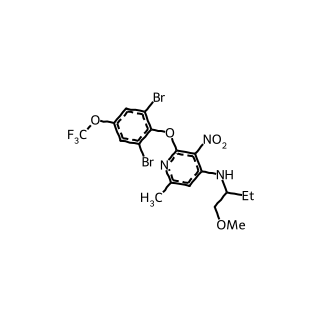 CCC(COC)Nc1cc(C)nc(Oc2c(Br)cc(OC(F)(F)F)cc2Br)c1[N+](=O)[O-]